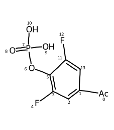 CC(=O)c1cc(F)c(OP(=O)(O)O)c(F)c1